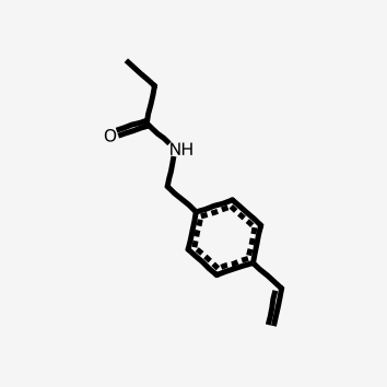 C=Cc1ccc(CNC(=O)CC)cc1